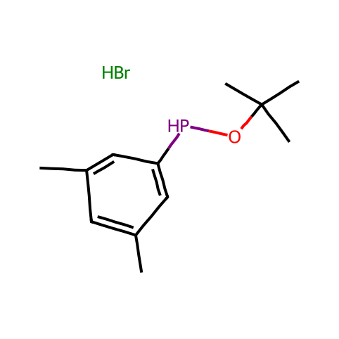 Br.Cc1cc(C)cc(POC(C)(C)C)c1